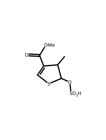 COC(=O)C1=CSC(OS(=O)(=O)O)C1C